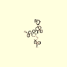 C[C@@H]1C2C[C@H](OC(=O)C3CC3)[C@@]3(C)Oc4cc(-c5cccnc5)oc(=O)c4CC3[C@@]2(C)CC[C@@H]1OC(=O)C1CC1